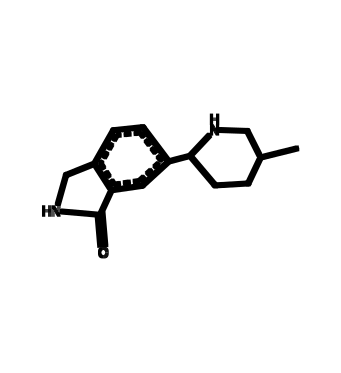 CC1CCC(c2ccc3c(c2)C(=O)NC3)NC1